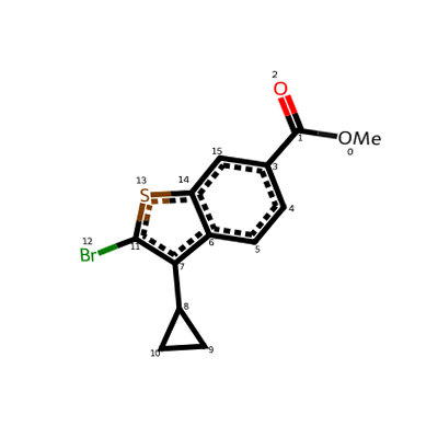 COC(=O)c1ccc2c(C3CC3)c(Br)sc2c1